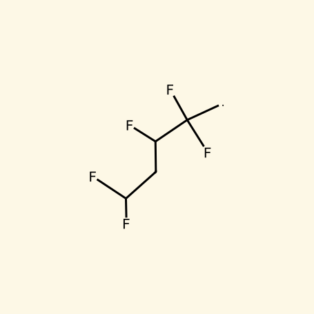 [CH2]C(F)(F)C(F)CC(F)F